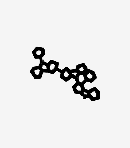 c1ccc(-c2c(-n3c4ccccc4c4cc(-c5ccc6c(c5)c5ccccc5n6-c5ccccc5)ccc43)ccc3sc4ccccc4c23)cc1